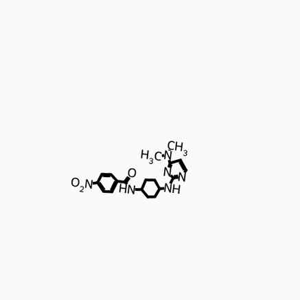 CN(C)c1ccnc(NC2CCC(NC(=O)c3ccc([N+](=O)[O-])cc3)CC2)n1